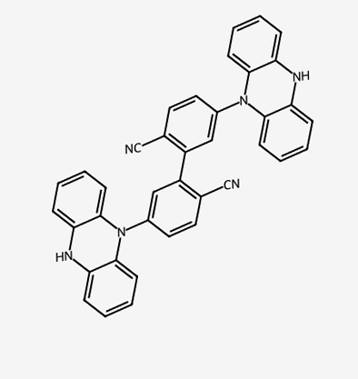 N#Cc1ccc(N2c3ccccc3Nc3ccccc32)cc1-c1cc(N2c3ccccc3Nc3ccccc32)ccc1C#N